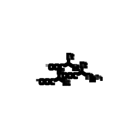 CCC(CC)C(=O)[O-].CCC(CC)C(=O)[O-].CCC(CC)C(=O)[O-].[Bi+3]